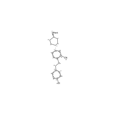 CCCCC[C@H]1CC[C@H](c2ccc(OCc3ccc(CC)cc3)c(C#N)c2)CC1